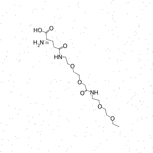 CCOCCOCCNC(=O)COCCOCCNC(=O)CC[C@H](N)C(=O)O